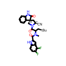 CN(C(=O)c1cc2c(F)c(F)ccc2[nH]1)C(CC(C)(C)C)C(=O)N1C[C@]2(C[C@H]1C#N)C(=O)Nc1ccccc12